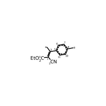 CCOC(=O)C(C#N)=C(C)c1ccc(C)cc1